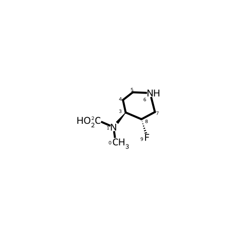 CN(C(=O)O)[C@H]1CCNC[C@@H]1F